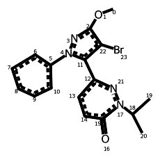 COc1nn(-c2ccccc2)c(-c2ccc(=O)n(C(C)C)n2)c1Br